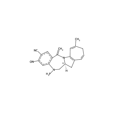 C=C1c2cc(C#N)c(N=O)cc2N(P)C[C@@H]2CC3=C(C=C(C)CC=C3)N12